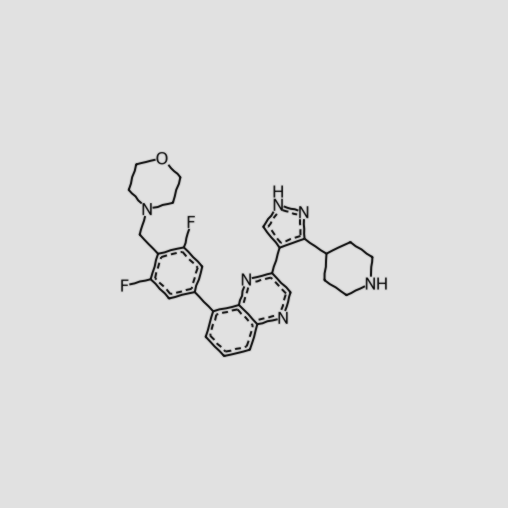 Fc1cc(-c2cccc3ncc(-c4c[nH]nc4C4CCNCC4)nc23)cc(F)c1CN1CCOCC1